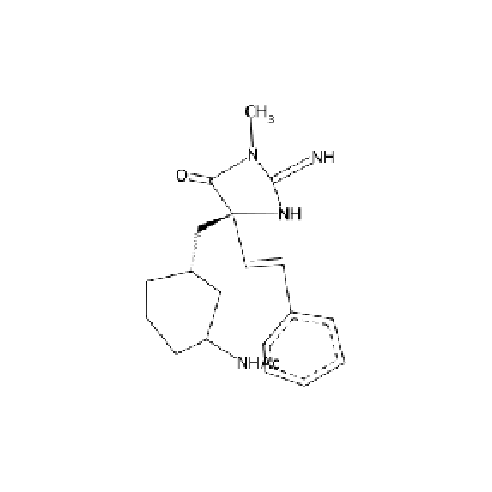 CC(=O)NC1CCC[C@H](C[C@]2(C=Cc3ccccc3)NC(=N)N(C)C2=O)C1